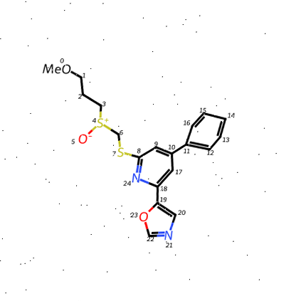 COCCC[S+]([O-])CSc1cc(-c2ccccc2)cc(-c2cnco2)n1